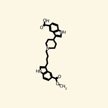 COC(=O)c1ccc2[nH]cc(CCCCN3CCC(c4c[nH]c5ccc(C(=O)O)cc45)CC3)c2c1